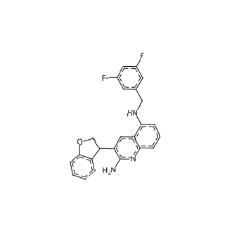 Nc1nc2cccc(NCc3cc(F)cc(F)c3)c2cc1C1COc2ccccc21